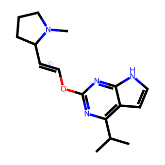 CC(C)c1nc(O/C=C/C2CCCN2C)nc2[nH]ccc12